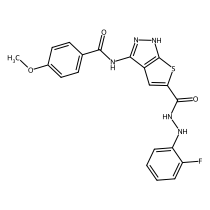 COc1ccc(C(=O)Nc2n[nH]c3sc(C(=O)NNc4ccccc4F)cc23)cc1